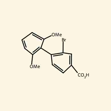 COc1cccc(OC)c1-c1ccc(C(=O)O)cc1Br